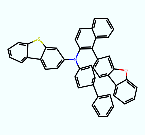 c1ccc(-c2ccc(N(c3ccc4c(c3)sc3ccccc34)c3ccc4ccccc4c3-c3ccc4c(c3)oc3ccccc34)cc2)cc1